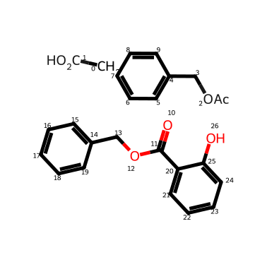 CC(=O)O.CC(=O)OCc1ccccc1.O=C(OCc1ccccc1)c1ccccc1O